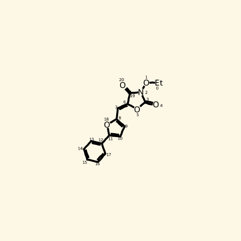 CCON1C(=O)O/C(=C\c2ccc(-c3ccccc3)o2)C1=O